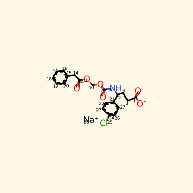 O=C([O-])CCC(NC(=O)OCOC(=O)Cc1ccccc1)c1ccc(Cl)cc1.[Na+]